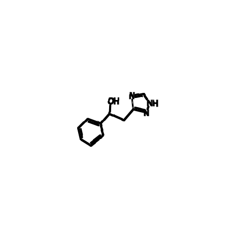 OC(Cc1nc[nH]n1)c1ccccc1